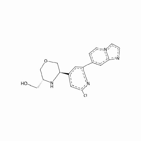 OC[C@@H]1COC[C@@H](c2cc(Cl)nc(-c3ccn4ccnc4c3)c2)N1